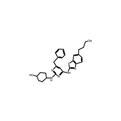 OCCCc1ccc2nc(Nc3cc(Cc4ccccc4)nc(NC4CCC(O)CC4)n3)sc2c1